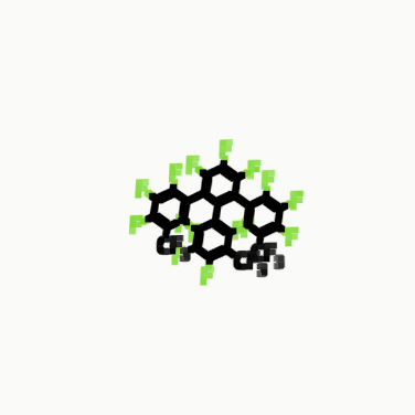 Fc1c(F)c(-c2c(F)c(F)c(F)c(C(F)(F)F)c2F)c(-c2c(F)c(F)c(F)c(C(F)(F)F)c2F)c(-c2c(F)c(F)c(F)c(C(F)(F)F)c2F)c1F